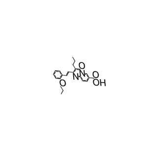 CCCOc1ccccc1C=Cc1nc2ccc(C(=O)O)cn2c(=O)c1CCC